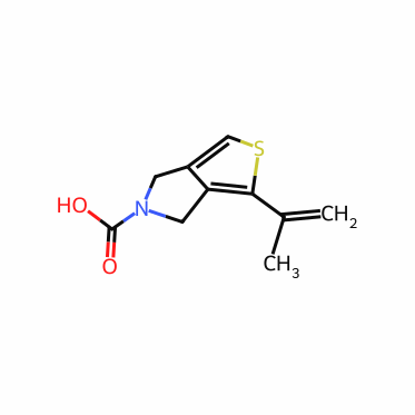 C=C(C)c1scc2c1CN(C(=O)O)C2